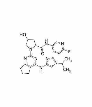 CC(C)n1cnc(Nc2nc(N3CC(O)CC3C(=O)Nc3ccc(F)nc3)nc3c2CCC3)c1